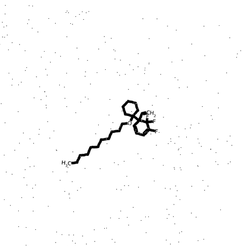 C=CC1(C2(OCCCCCCCCCCC)CCCCC2)C=CC=C(F)C1(F)F